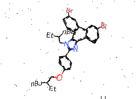 CCCCC(CC)COc1ccc(-c2nc3c4ccc(Br)cc4c4cc(Br)ccc4c3n2CC(CC)CCCC)cc1